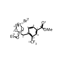 CCO[P+](Cc1ccc(C(=O)OC)cc1C(F)(F)F)(OCC)OCC.[Br-]